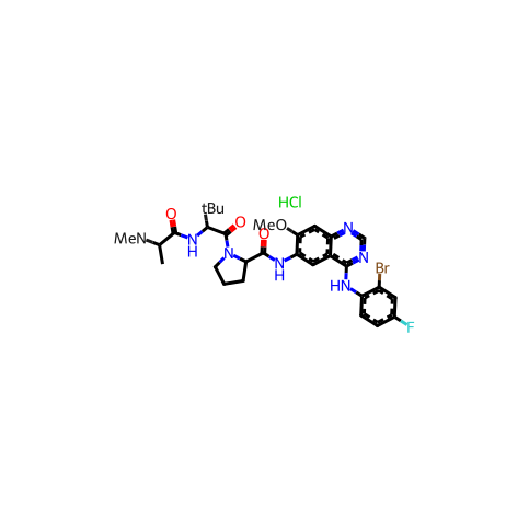 CNC(C)C(=O)NC(C(=O)N1CCCC1C(=O)Nc1cc2c(Nc3ccc(F)cc3Br)ncnc2cc1OC)C(C)(C)C.Cl